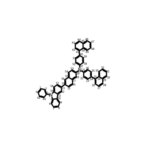 c1ccc(-n2c3ccccc3c3cc(-c4ccc5cc(N(c6ccc(-c7cccc8ccccc78)cc6)c6ccc(-c7cccc8ccccc78)cc6)ccc5c4)ccc32)cc1